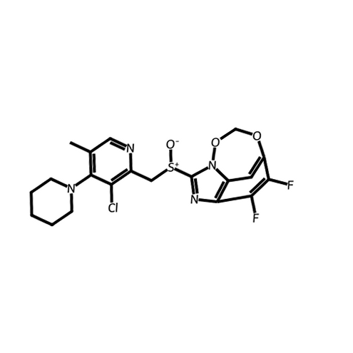 Cc1cnc(C[S+]([O-])c2nc3c(F)c(F)c4cc3n2OCO4)c(Cl)c1N1CCCCC1